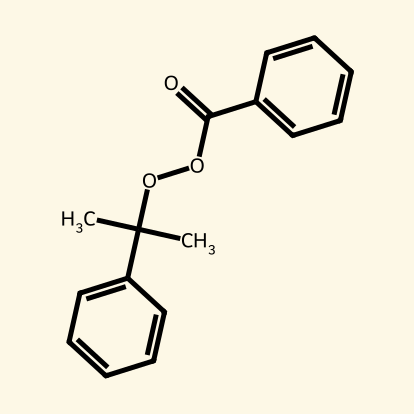 CC(C)(OOC(=O)c1ccccc1)c1ccccc1